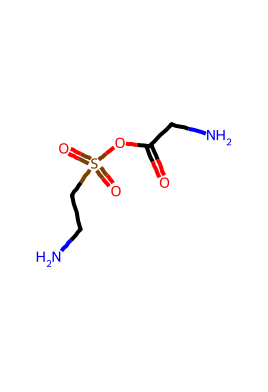 NCCS(=O)(=O)OC(=O)CN